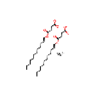 CCCCCCCCCCC=COC(=O)CCC(=O)[O-].CCCCCCCCCCC=COC(=O)CCC(=O)[O-].[Mg+2]